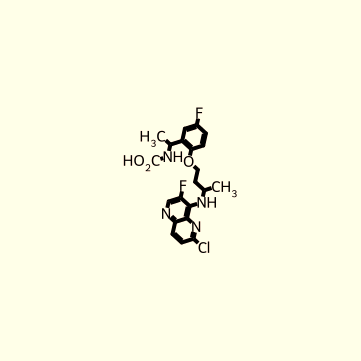 CC(CCOc1ccc(F)cc1C(C)NC(=O)O)Nc1c(F)cnc2ccc(Cl)nc12